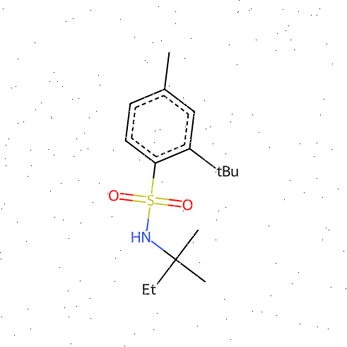 CCC(C)(C)NS(=O)(=O)c1ccc(C)cc1C(C)(C)C